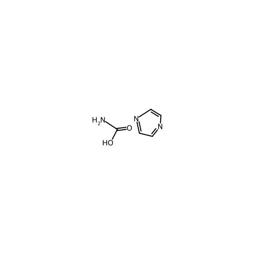 NC(=O)O.c1cnccn1